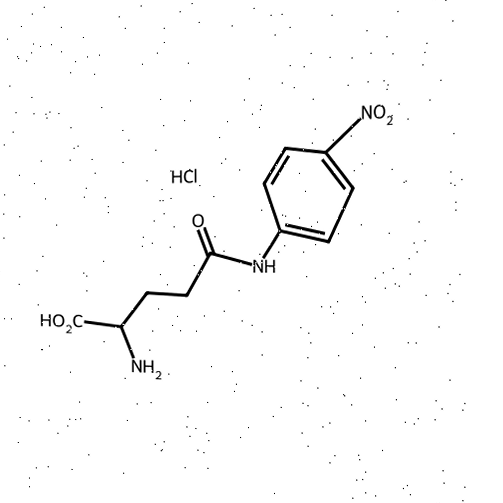 Cl.NC(CCC(=O)Nc1ccc([N+](=O)[O-])cc1)C(=O)O